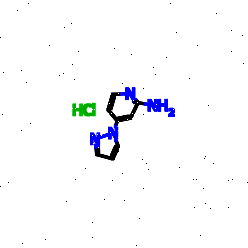 Cl.Nc1cc(-n2cccn2)ccn1